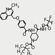 Cc1cc(COc2ccc(C(=O)N[C@H]3CN(C(=O)OC(C)(C)C)CC[C@@H]3C(=O)NOC(=O)C(F)(F)F)cc2)c2ccccc2n1